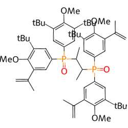 C=C(C)c1cc(P(=O)(c2cc(C(=C)C)c(OC)c(C(C)(C)C)c2)C(C)C(C)P(=O)(c2cc(C(=C)C)c(OC)c(C(C)(C)C)c2)c2cc(C(C)(C)C)c(OC)c(C(C)(C)C)c2)cc(C(C)(C)C)c1OC